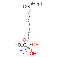 CCCCCCCC(=O)CCCCCC/C=C/C[C@@H](O)[C@H](O)[C@@](N)(CO)C(=O)O